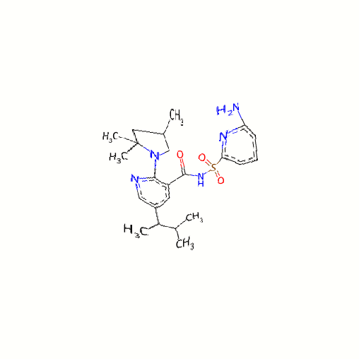 CC1CN(c2ncc(C(C)C(C)C)cc2C(=O)NS(=O)(=O)c2cccc(N)n2)C(C)(C)C1